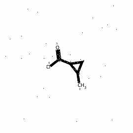 CC1CC1C(=O)Cl